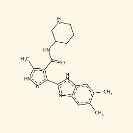 Cc1cc2nc(-c3n[nH]c(C)c3C(=O)NC3CCCNC3)[nH]c2cc1C